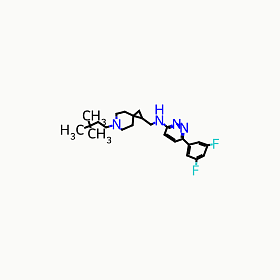 CC(C)(C)CCN1CCC2(CC1)CC2CNc1ccc(-c2cc(F)cc(F)c2)nn1